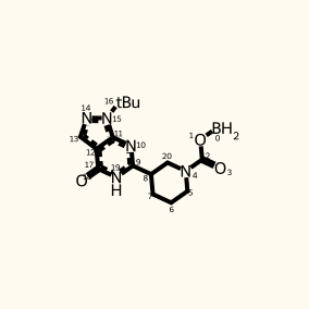 BOC(=O)N1CCCC(c2nc3c(cnn3C(C)(C)C)c(=O)[nH]2)C1